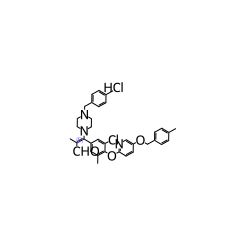 C/C(C=O)=C(/c1cc(C)c(Oc2ccc(OCc3ccc(C)cc3)cn2)c(Cl)c1)N1CCN(Cc2ccc(C)cc2)CC1.Cl